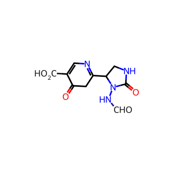 O=CNN1C(=O)NCC1C1=NC=C(C(=O)O)C(=O)C1